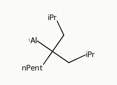 CCCCC[C]([Al])(CC(C)C)CC(C)C